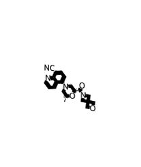 C[C@@H]1CN(c2ccc(C#N)c3ncccc23)C[C@H](C(=O)N2CC3(COC3)C2)O1